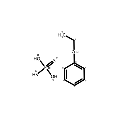 C[CH2][Zn][c]1ccccc1.OP(O)(=S)S